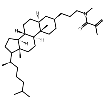 C=C(C)C(=O)N(C)CCC[C@H]1CC[C@@]2(C)[C@@H](CC[C@@H]3[C@@H]2CC[C@]2(C)C([C@H](C)CCCC(C)C)CC[C@@H]32)C1